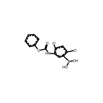 O=C(Nc1cc(B(O)O)c(Cl)cc1Cl)Oc1ccccc1